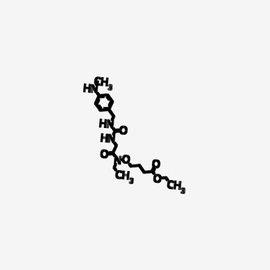 CCOC(=O)CCCON(CC)C(=O)CNC(=O)NCc1ccc(NC)cc1